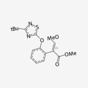 CO/C=C(/C(=O)OC)c1ccccc1Oc1nc(C(C)(C)C)ns1